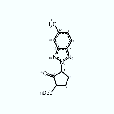 CCCCCCCCCCC1CCC(n2nc3ccc(C)cc3n2)C1=O